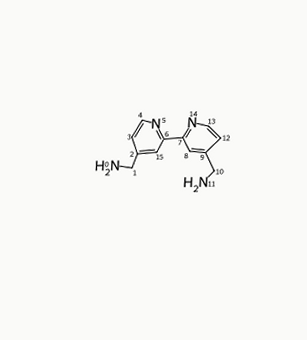 NCc1ccnc(-c2cc(CN)ccn2)c1